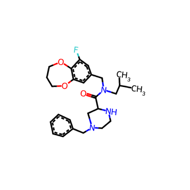 CC(C)CN(Cc1cc(F)c2c(c1)OCCCO2)C(=O)C1CN(Cc2ccccc2)CCN1